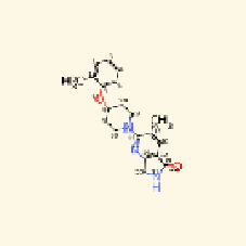 Cc1ccccc1OC1CCN(c2nc3c(cc2C)C(=O)NC3)CC1